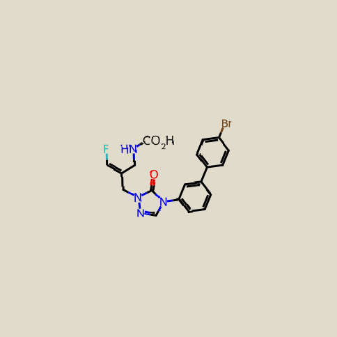 O=C(O)NC/C(=C\F)Cn1ncn(-c2cccc(-c3ccc(Br)cc3)c2)c1=O